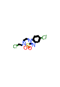 O=S1(=O)c2nc3cc(Cl)ccc3n2CCN1CCCl